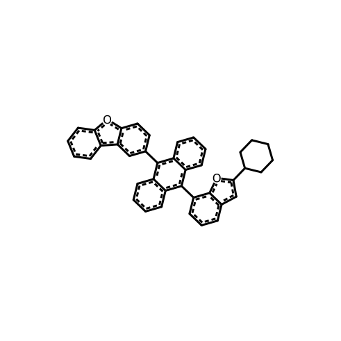 c1cc(-c2c3ccccc3c(-c3ccc4oc5ccccc5c4c3)c3ccccc23)c2oc(C3CCCCC3)cc2c1